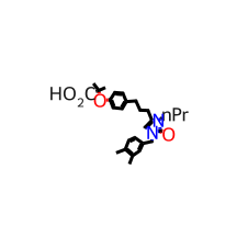 CCCn1c(CCCc2ccc(OC(C)(C)C(=O)O)cc2)cn(Cc2ccc(C)c(C)c2)c1=O